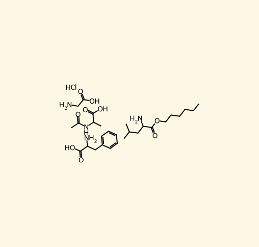 CC(=O)NC(C)C(=O)O.CCCCCCOC(=O)C(N)CC(C)C.Cl.NC(Cc1ccccc1)C(=O)O.NCC(=O)O